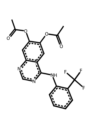 CC(=O)Oc1cc2ncnc(Nc3ccccc3C(F)(F)F)c2cc1OC(C)=O